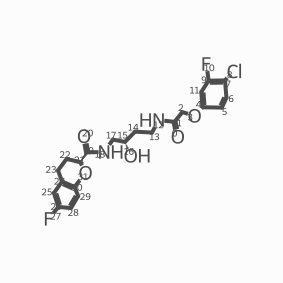 O=C(COc1ccc(Cl)c(F)c1)NCC[C@H](O)CNC(=O)[C@@H]1CCc2cc(F)ccc2O1